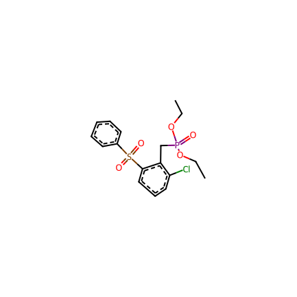 CCOP(=O)(Cc1c(Cl)cccc1S(=O)(=O)c1ccccc1)OCC